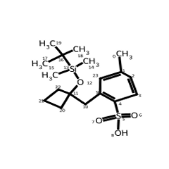 Cc1ccc(S(=O)(=O)O)c(CC2(O[Si](C)(C)C(C)(C)C)CCC2)c1